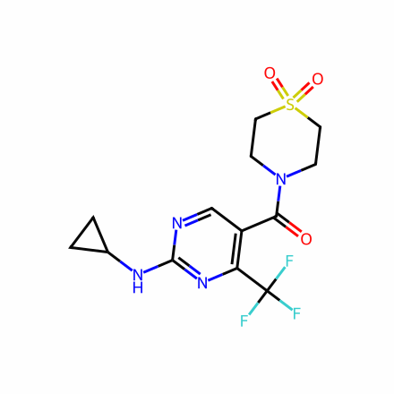 O=C(c1cnc(NC2CC2)nc1C(F)(F)F)N1CCS(=O)(=O)CC1